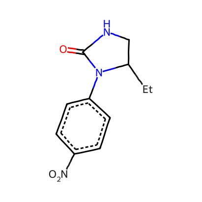 CCC1CNC(=O)N1c1ccc([N+](=O)[O-])cc1